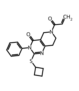 C=CC(=O)N1CCc2nc(SC3CCC3)n(-c3ccccc3)c(=O)c2C1